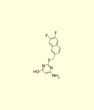 Nc1cc(O)nc(SCc2ccc3cc(F)c(F)cc3c2)n1